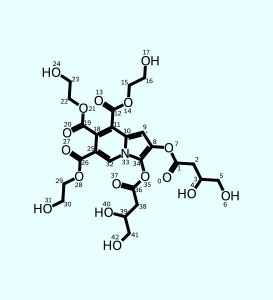 O=C(CC(O)CO)Oc1[c]c2c(C(=O)OCCO)c(C(=O)OCCO)c(C(=O)OCCO)cn2c1OC(=O)CC(O)CO